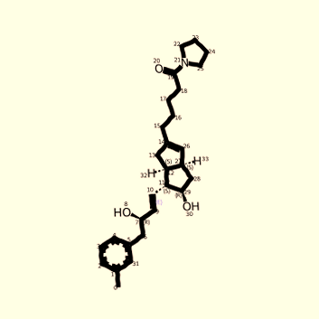 Cc1cccc(C[C@@H](O)/C=C/[C@@H]2[C@H]3CC(CCCCC(=O)N4CCCC4)=C[C@H]3C[C@H]2O)c1